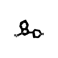 Nn1cc(C2=CCNCC2)c2ccccc21